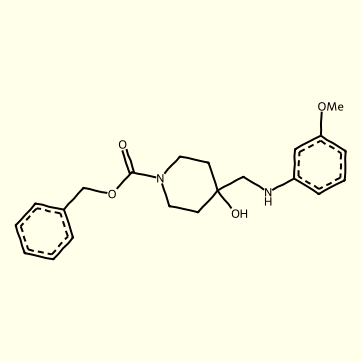 COc1cccc(NCC2(O)CCN(C(=O)OCc3ccccc3)CC2)c1